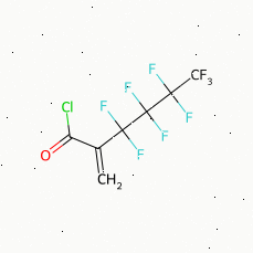 C=C(C(=O)Cl)C(F)(F)C(F)(F)C(F)(F)C(F)(F)F